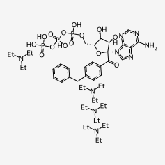 CCN(CC)CC.CCN(CC)CC.CCN(CC)CC.CCN(CC)CC.Nc1ncnc2c1ncn2[C@]1(C(=O)c2ccc(Cc3ccccc3)cc2)O[C@H](COP(=O)(O)OP(=O)(O)OP(=O)(O)O)[C@@H](O)[C@H]1O